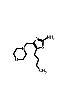 CCCCc1sc(N)nc1CN1CCOCC1